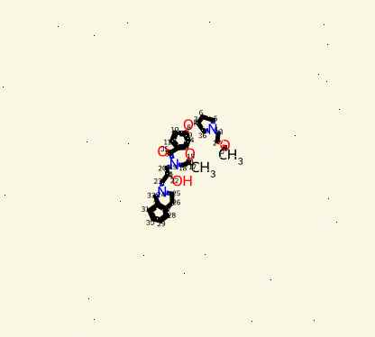 COCCN1CC[C@@H](Oc2ccc3c(c2)O[C@H](C)CN(C[C@H](O)CN2CCc4ccccc4C2)C3=O)C1